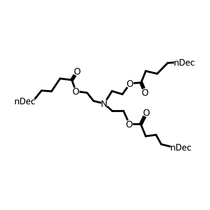 CCCCCCCCCCCCCC(=O)OCCN(CCOC(=O)CCCCCCCCCCCCC)CCOC(=O)CCCCCCCCCCCCC